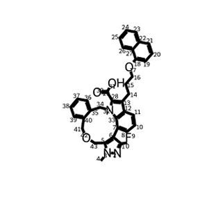 Cc1nn(C)c2c1-c1c(F)ccc3c(CCCOc4cccc5ccccc45)c(C(=O)O)n(c13)Cc1ccccc1COC2